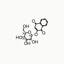 O=C1C=C(O[C@H]2O[C@H](CO)[C@H](O)[C@H](O)[C@H]2O)C(=O)c2ccccc21